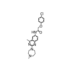 Cc1nc(N2CCCN(C)CC2)nc2ccc(NC(=O)COc3ccc(Cl)cc3)cc12